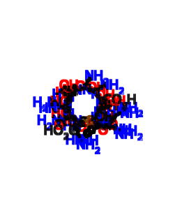 N=C(N)NCCC[C@@H](N)C(=O)N[C@@H](CCCNC(=N)N)C(=O)N[C@H](Cc1ccc2ccccc2c1)C(=O)NC1CSSC[C@H](C(=O)N[C@H](CCCNC(=N)N)C(=O)O)N=C(O)[C@@H](CCCNC(N)=O)N=C(O)[C@@H](CCCNC(=N)N)N=C(O)[C@@H](Cc2ccc(O)cc2)N=C(O)[C@@H]2CCCN2C(=O)C(CCCCN)N=C(O)C(CCCCN)N=C(O)C(CCC(=O)O)N=C(O)[C@@H](Cc2ccc(O)cc2)N=C1O